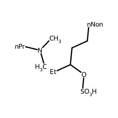 CCCCCCCCCCCC(CC)OS(=O)(=O)O.CCCN(C)C